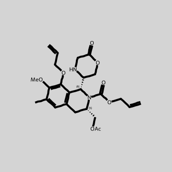 C=CCOC(=O)N1[C@H](COC(C)=O)Cc2cc(C)c(OC)c(OCC=C)c2[C@@H]1C1COC(=O)CN1